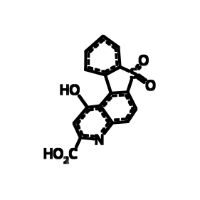 O=C(O)c1cc(O)c2c3c(ccc2n1)S(=O)(=O)c1ccccc1-3